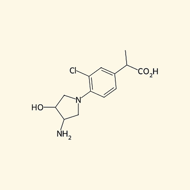 CC(C(=O)O)c1ccc(N2CC(N)C(O)C2)c(Cl)c1